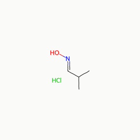 CC(C)C=NO.Cl